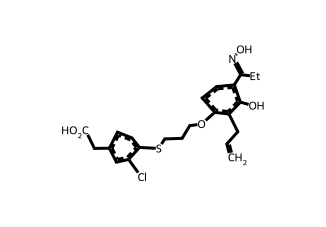 C=CCc1c(OCCCSc2ccc(CC(=O)O)cc2Cl)ccc(C(CC)=NO)c1O